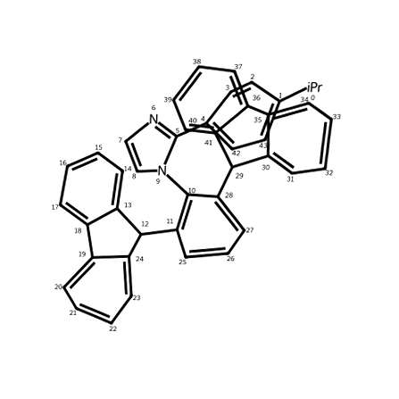 CC(C)c1ccc(-c2nccn2-c2c(C3c4ccccc4-c4ccccc43)cccc2C2c3ccccc3-c3ccccc32)cc1